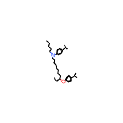 CCCCCN(CCCCCCCCC(CC)Oc1ccc(C(C)C)cc1)c1ccc(C(C)C)cc1